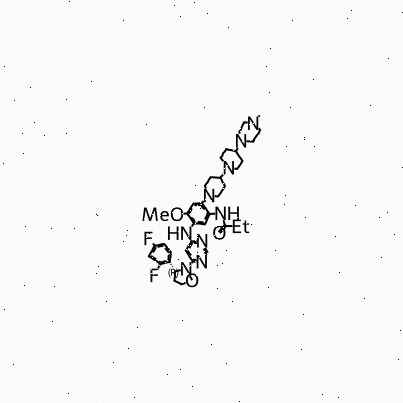 CCC(=O)Nc1cc(Nc2cc(N3OCC[C@@H]3c3ccc(F)cc3F)ncn2)c(OC)cc1N1CCC(N2CCC(N3CCN(C)CC3)CC2)CC1